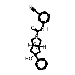 N#Cc1cccc(NC(=O)N2C[C@@H]3C[C@@](O)(c4ccccc4)C[C@@H]3C2)c1